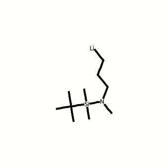 [Li][CH2]CCN(C)[Si](C)(C)C(C)(C)C